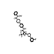 O=C(Nc1ccc(N2CCN(C(=O)[C@H](O)c3ccccc3)CC2)nc1)c1oc(N2CCC(c3cccc(F)c3)C2)nc1C(F)(F)F